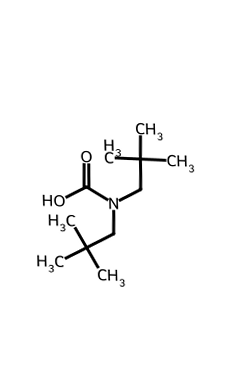 CC(C)(C)CN(CC(C)(C)C)C(=O)O